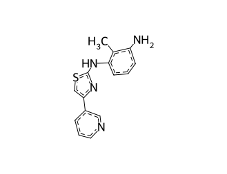 Cc1c(N)cccc1Nc1nc(-c2cccnc2)cs1